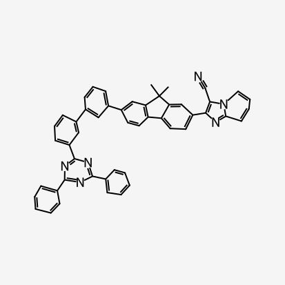 CC1(C)c2cc(-c3cccc(-c4cccc(-c5nc(-c6ccccc6)nc(-c6ccccc6)n5)c4)c3)ccc2-c2ccc(-c3nc4ccccn4c3C#N)cc21